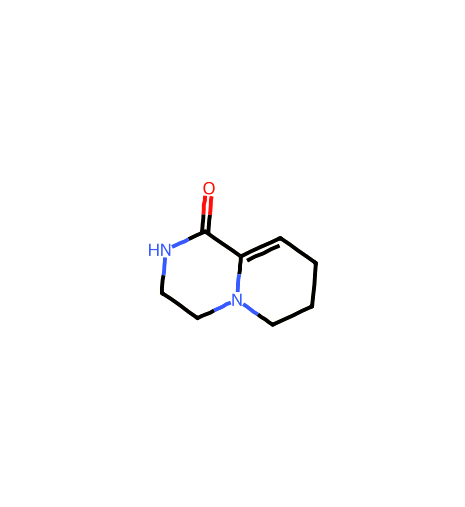 O=C1NCCN2CCCC=C12